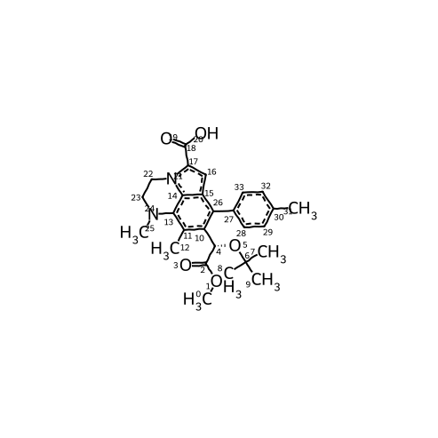 COC(=O)[C@@H](OC(C)(C)C)c1c(C)c2c3c(cc(C(=O)O)n3CCN2C)c1-c1ccc(C)cc1